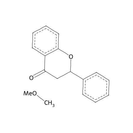 COC.O=C1CC(c2ccccc2)Oc2ccccc21